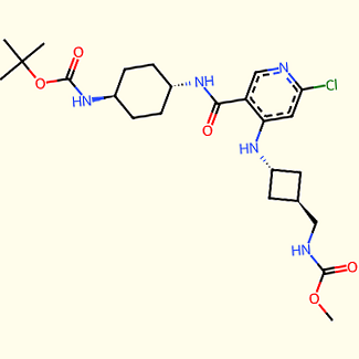 COC(=O)NC[C@H]1C[C@H](Nc2cc(Cl)ncc2C(=O)N[C@H]2CC[C@H](NC(=O)OC(C)(C)C)CC2)C1